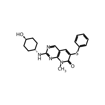 Cn1c(=O)c(Sc2ccccc2)cc2cnc(N[C@H]3CC[C@H](O)CC3)nc21